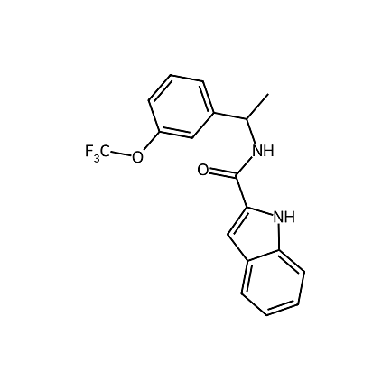 CC(NC(=O)c1cc2ccccc2[nH]1)c1cccc(OC(F)(F)F)c1